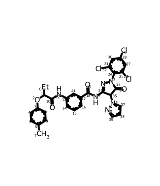 CCC(Oc1ccc(C)cc1)C(=O)Nc1cccc(C(=O)NC2=NN(c3c(Cl)cc(Cl)cc3Cl)C(=O)C2n2cccn2)c1